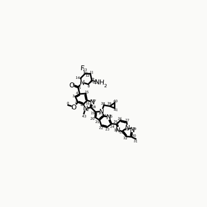 COc1cc(C(=O)N2C[C@H](N)C[C@@H](F)C2)cc2nc(-c3cc4ccc(-c5ccn6nc(C)cc6n5)nc4n3CC3CC3)n(C)c12